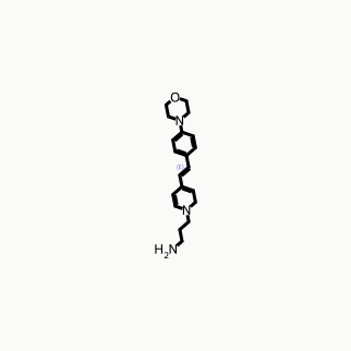 NCCCN1C=CC(/C=C/c2ccc(N3CCOCC3)cc2)=CC1